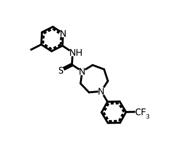 Cc1ccnc(NC(=S)N2CCCN(c3cccc(C(F)(F)F)c3)CC2)c1